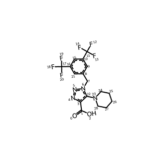 O=C(O)c1nnn(Cc2cc(C(F)(F)F)cc(C(F)(F)F)c2)c1N1CCCCC1